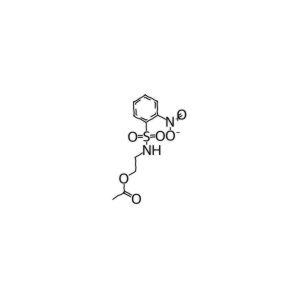 CC(=O)OCCNS(=O)(=O)c1ccccc1[N+](=O)[O-]